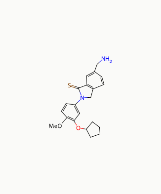 COc1ccc(N2Cc3ccc(CN)cc3C2=S)cc1OC1CCCC1